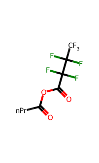 CCCC(=O)OC(=O)C(F)(F)C(F)(F)C(F)(F)F